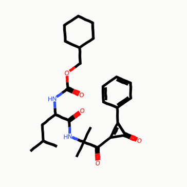 CC(C)CC(NC(=O)OCC1CCCCC1)C(=O)NC(C)(C)C(=O)c1c(-c2ccccc2)c1=O